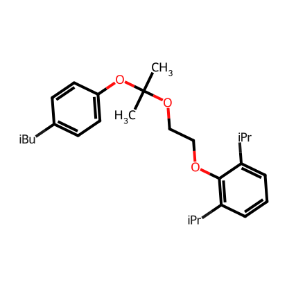 CCC(C)c1ccc(OC(C)(C)OCCOc2c(C(C)C)cccc2C(C)C)cc1